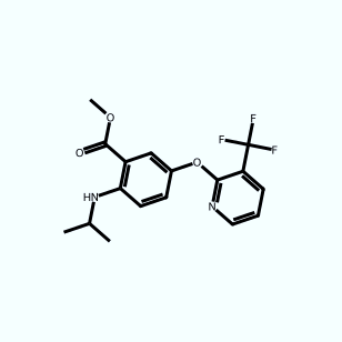 COC(=O)c1cc(Oc2ncccc2C(F)(F)F)ccc1NC(C)C